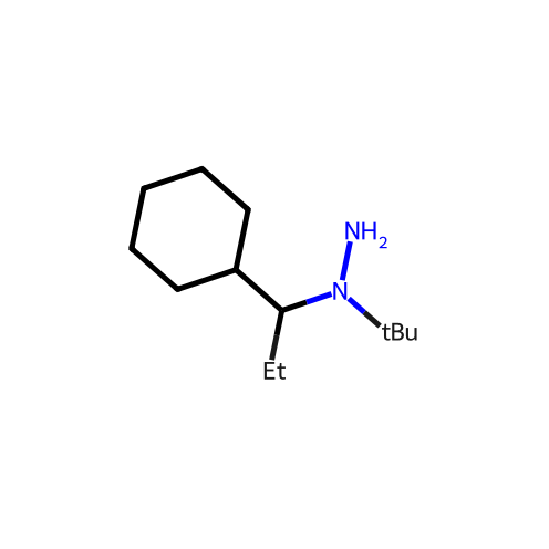 CCC(C1CCCCC1)N(N)C(C)(C)C